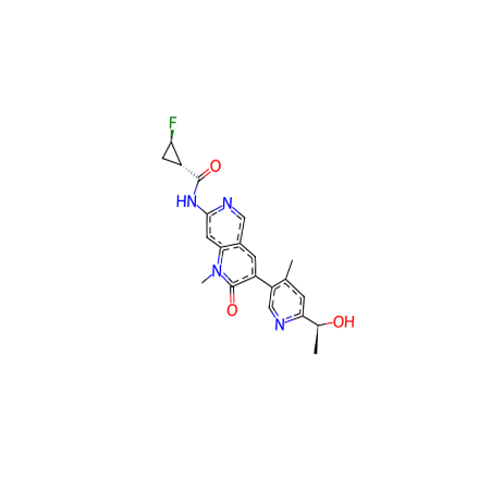 Cc1cc([C@H](C)O)ncc1-c1cc2cnc(NC(=O)[C@@H]3C[C@H]3F)cc2n(C)c1=O